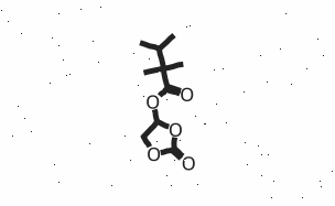 CC(C)C(C)(C)C(=O)OC1COC(=O)O1